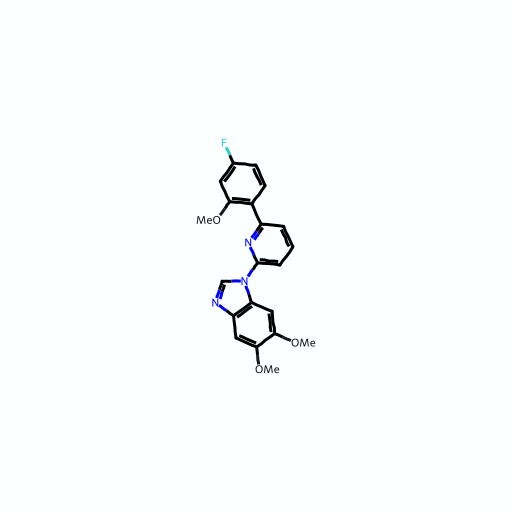 COc1cc2ncn(-c3cccc(-c4ccc(F)cc4OC)n3)c2cc1OC